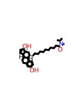 CC(C)N(C)C(=O)CCCCCCCCCC[C@H]1C[C@]2(C)[C@@H](O)CC[C@H]2[C@@H]2CCc3cc(O)ccc3[C@@H]12